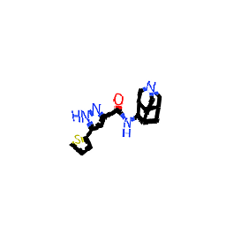 O=C(NC1C2CC3CC1CN(C3)C2)c1cc(-c2cccs2)[nH]n1